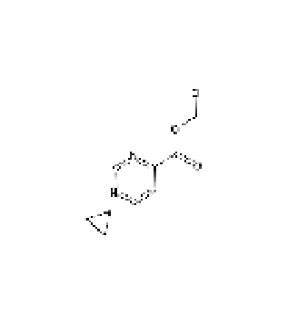 C1CC1.O=C(OCCl)c1ccncn1